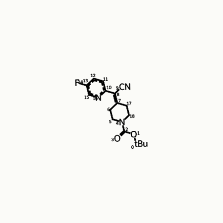 CC(C)(C)OC(=O)N1CCC(=C(C#N)c2ccc(F)cn2)CC1